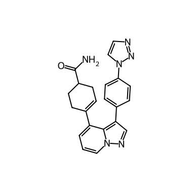 NC(=O)C1CC=C(c2cccn3ncc(-c4ccc(-n5ccnn5)cc4)c23)CC1